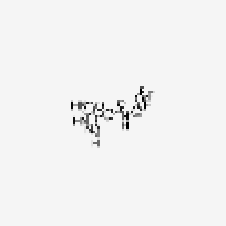 O=C1CNCC2=C1C(c1ccc(C(=O)Nc3cccc(OC(F)(F)F)c3)cc1)c1c[nH]nc1N2